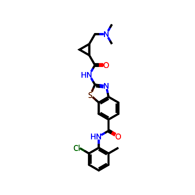 Cc1cccc(Cl)c1NC(=O)c1ccc2nc(NC(=O)C3CC3CN(C)C)sc2c1